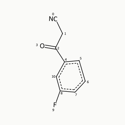 N#CCC(=O)c1cccc(F)c1